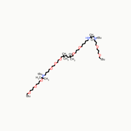 CC(C)(C)COCCCOCCCOC(C)(C)N(CCCCOCCOCCOCC(C)(C)CCC(C)(C)COCCCOCCCCCNC(C)(C)CN(CCCOCCCOCC(C)(C)C)C(C)(C)C)C(C)(C)C